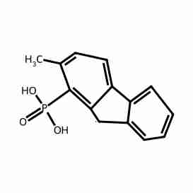 Cc1ccc2c(c1P(=O)(O)O)[CH]c1ccccc1-2